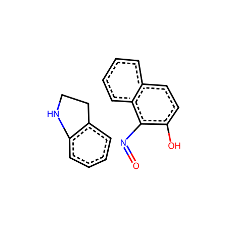 O=Nc1c(O)ccc2ccccc12.c1ccc2c(c1)CCN2